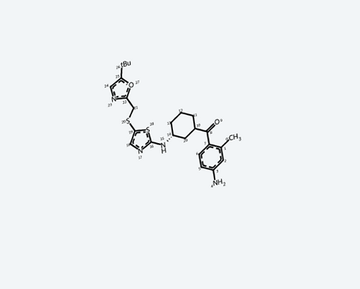 Cc1cc(N)ccc1C(=O)C1CCC[C@@H](Nc2ncc(SCc3ncc(C(C)(C)C)o3)s2)C1